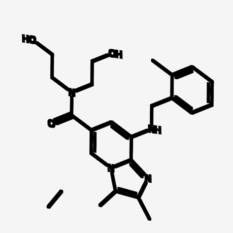 CC.Cc1ccccc1CNc1cc(C(=O)N(CCO)CCO)cn2c(C)c(C)nc12